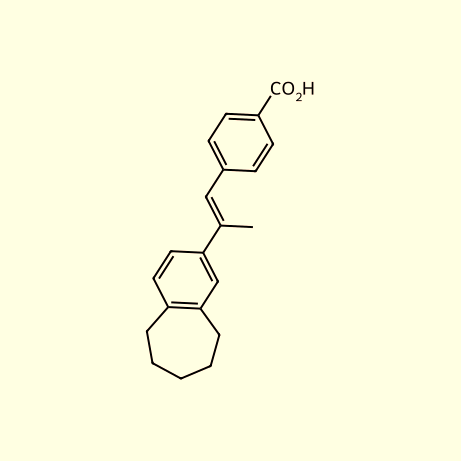 C/C(=C\c1ccc(C(=O)O)cc1)c1ccc2c(c1)CCCCC2